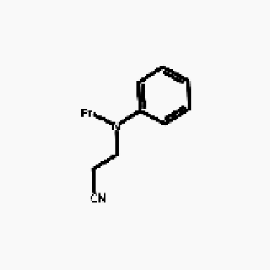 CC(C)N(CCC#N)c1ccccc1